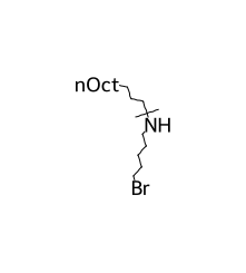 CCCCCCCCCCCC(C)(C)NCCCCCBr